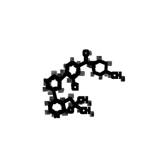 CC1CCN(C(=O)c2ccc(-c3cncc(-c4ccnc5c4CC(C)(C)O5)c3)c(Cl)c2)CC1